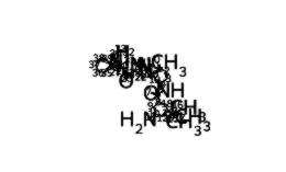 Cc1ccc(NC(=O)c2cc(N)cc(C(C)(C)C)c2)cc1-n1cc(C(=O)NCC2(N3CCCCC3)CCCCC2)nn1